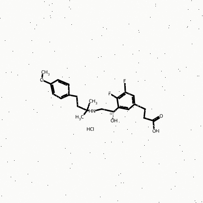 COc1ccc(CCC(C)(C)NC[C@@H](O)c2cc(CCC(=O)O)cc(F)c2F)cc1.Cl